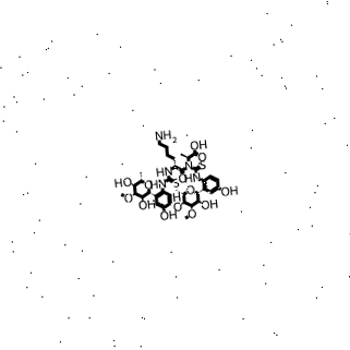 CO[C@@H]1[C@H](O)[C@H](C)O[C@H](c2cc(O)ccc2NC(=S)N[C@H](CCCCN)C(=O)N(C(=S)Nc2ccc(O)cc2[C@H]2O[C@@H](C)[C@@H](O)[C@@H](OC)[C@@H]2O)[C@@H](C)C(=O)O)[C@H]1O